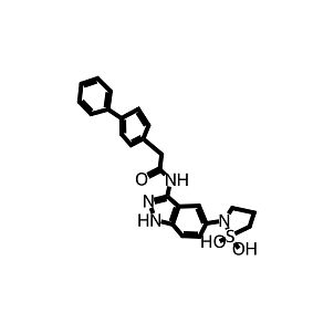 O=C(Cc1ccc(-c2ccccc2)cc1)Nc1n[nH]c2ccc(N3CCCS3(O)O)cc12